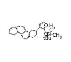 CC(C)(C)[Si](C)(C)Oc1occc1C1CCc2ccc3c(ccc4ccccc43)c2C1